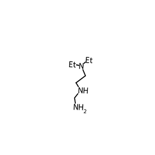 CCN(CC)CCNCN